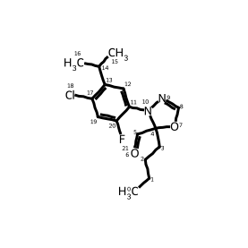 CCCCC1(C=O)OC=NN1c1cc(C(C)C)c(Cl)cc1F